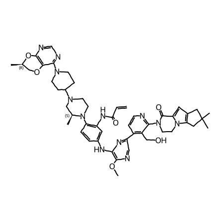 C=CC(=O)Nc1cc(Nc2nc(-c3ccnc(N4CCn5c(cc6c5CC(C)(C)C6)C4=O)c3CO)cnc2OC)ccc1N1CCN(C2CCN(c3ncnc4c3OC[C@@H](C)O4)CC2)C[C@@H]1C